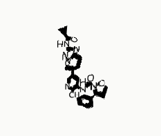 Cc1ncc(-c2ccc3nc(NC(=O)C4CC4)nn3c2)cc1NC(=O)N1OCC[C@H]1c1ccccc1